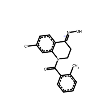 Cc1ccccc1C(=O)N1CC/C(=N\O)c2ccc(Cl)cc21